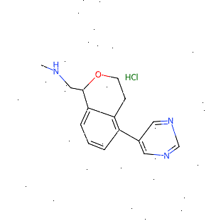 CNCC1OCCc2c(-c3cncnc3)cccc21.Cl